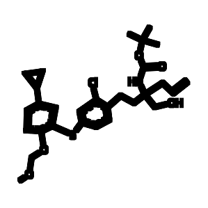 C=CCC(CO)(CCc1ccc(Sc2cc(C3CC3)ccc2OCOC)cc1Cl)NC(=O)OC(C)(C)C